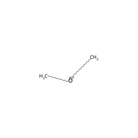 CCCCCCCCCCCCCCCCC[n+]1cccc(CCCCCCCCCCCCC)c1